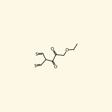 CCOCC(=O)C(=O)C(C=S)C=S